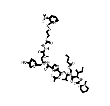 CCCC(=O)OCN(C(=O)C(NC(=O)[C@H]1CCCCN1C)C(C)CC)[C@H](C[C@@H](OC(C)=O)c1nc(C(=O)N[C@@H](Cc2ccc(O)cc2)C[C@H](C)C(=O)NNC(=O)OCCSSc2ncccc2[N+](=O)[O-])cs1)C(C)C